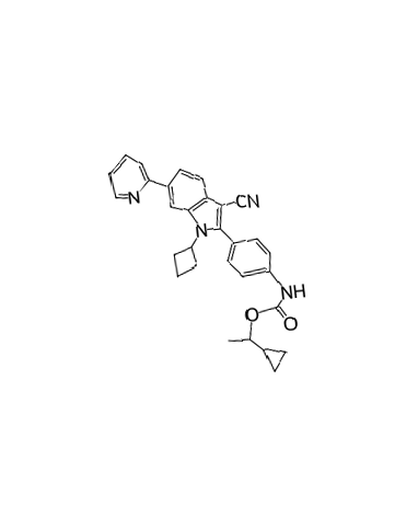 CC(OC(=O)Nc1ccc(-c2c(C#N)c3ccc(-c4ccccn4)cc3n2C2CCC2)cc1)C1CC1